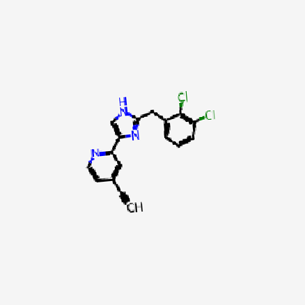 C#Cc1ccnc(-c2c[nH]c(Cc3cccc(Cl)c3Cl)n2)c1